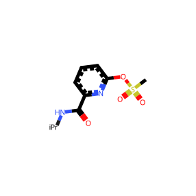 CC(C)NC(=O)c1cccc(OS(C)(=O)=O)n1